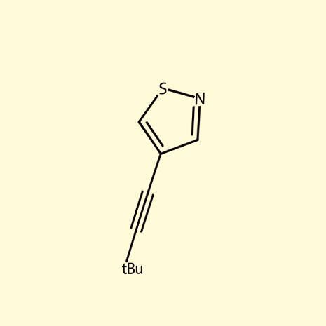 CC(C)(C)C#Cc1cnsc1